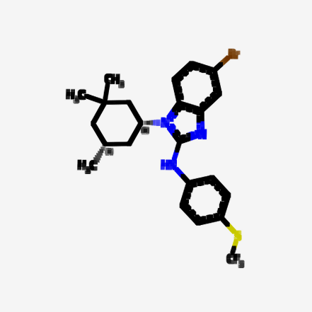 C[C@H]1C[C@@H](n2c(Nc3ccc(SC(F)(F)F)cc3)nc3cc(Br)ccc32)CC(C)(C)C1